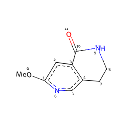 COc1cc2c(cn1)CCNC2=O